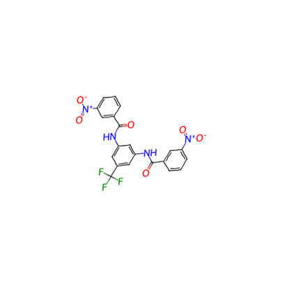 O=C(Nc1cc(NC(=O)c2cccc([N+](=O)[O-])c2)cc(C(F)(F)F)c1)c1cccc([N+](=O)[O-])c1